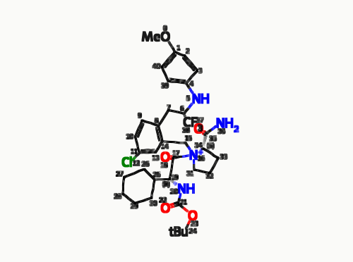 COc1ccc(NC(Cc2ccc(Cl)cc2C[N+]2(C(=O)[C@H](NC(=O)OC(C)(C)C)C3CCCCC3)CCC[C@H]2C(N)=O)C(F)(F)F)cc1